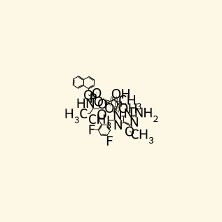 COc1nc(N)nc2c1nc(I)n2[C@@H]1O[C@H](COP(=O)(NC(C(=O)OCc2ccc(F)cc2F)C(C)C)Oc2cccc3ccccc23)[C@@H](O)[C@@]1(C)O